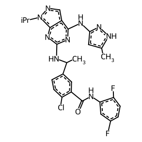 Cc1cc(Nc2nc(NC(C)c3ccc(Cl)c(C(=O)Nc4cc(F)ccc4F)c3)nc3c2cnn3C(C)C)n[nH]1